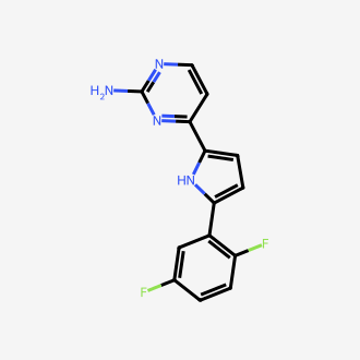 Nc1nccc(-c2ccc(-c3cc(F)ccc3F)[nH]2)n1